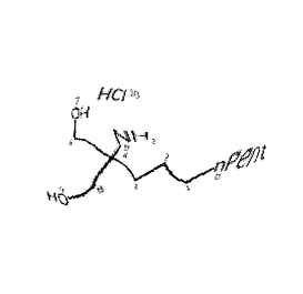 CCCCCCCCC(N)(CO)CO.Cl